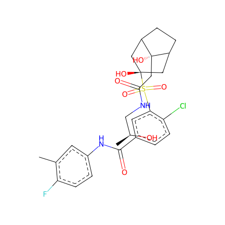 Cc1cc(NC(=O)c2ccc(Cl)c(S(=O)(=O)[C@]3(O)CC4CCC(C3)[C@@]4(O)CC(=O)NC[C@H](C)O)c2)ccc1F